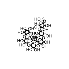 O=S(=O)(O)O[C@H]1O[C@H](CO)[C@@H](O[C@H]2O[C@H](CO)[C@@H](O[C@H]3O[C@H](CO)[C@@H](O[C@H]4O[C@H](CO)[C@@H](O[C@H]5O[C@H](CO)[C@@H](O[C@H]6O[C@H](CO)[C@@H](O)[C@H](O)[C@H]6O)[C@H](O)[C@H]5O)[C@H](O)[C@H]4O)[C@H](O)[C@H]3O)[C@H](O)[C@H]2O)[C@H](O)[C@H]1O